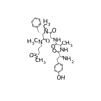 C[C@@H](NC(=O)[C@@H](N)Cc1ccc(O)cc1)C(=O)NCC(=O)N(C)[C@@H](Cc1ccccc1)C(=O)N(C)CCC[S+](C)[O-]